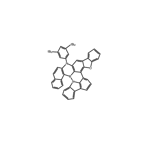 CC(C)(C)c1cc(N2c3cc4c(oc5ccccc54)c4c3B(c3c2ccc2ccccc32)n2c3ccccc3c3cccc-4c32)cc(C(C)(C)C)c1